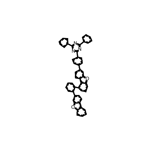 c1ccc(-c2nc(-c3ccccc3)nc(-c3ccc(-c4ccc5c(c4)oc4cccc(-c6ccccc6-c6ccc7c(c6)oc6ccccc67)c45)cc3)n2)cc1